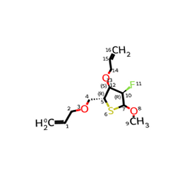 C=CCOC[C@H]1SC(OC)[C@H](F)[C@@H]1OCC=C